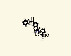 CC/C=N\C(Oc1ccc(Nc2nc3ccccc3s2)cc1)=C(/C)N1CCCC1C(C)(C)N=O